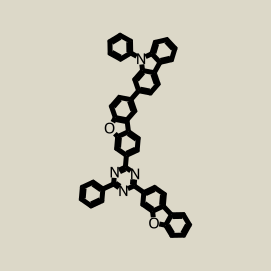 c1ccc(-c2nc(-c3ccc4c(c3)oc3ccccc34)nc(-c3ccc4c(c3)oc3ccc(-c5ccc6c7ccccc7n(-c7ccccc7)c6c5)cc34)n2)cc1